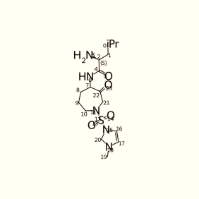 CC(C)C[C@H](N)C(=O)NC1CCCN(S(=O)(=O)N2C=CN(C)C2)CC1=O